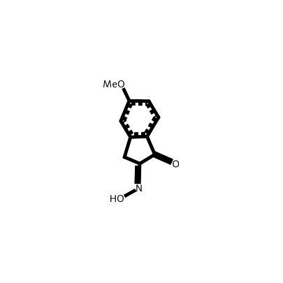 COc1ccc2c(c1)C/C(=N\O)C2=O